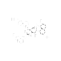 CCc1c(F)ccc2cc(O)cc(-c3ncc4c(N5CCCC6(CCC(O)C6)C5)nc(OC[C@@]56CCCN5C[C@H](F)C6)nc4c3F)c12